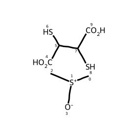 C[S+](C)[O-].O=C(O)C(S)C(S)C(=O)O